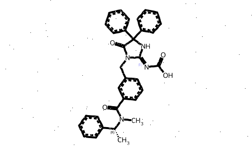 C[C@H](c1ccccc1)N(C)C(=O)c1cccc(CN2C(=O)C(c3ccccc3)(c3ccccc3)N/C2=N\C(=O)O)c1